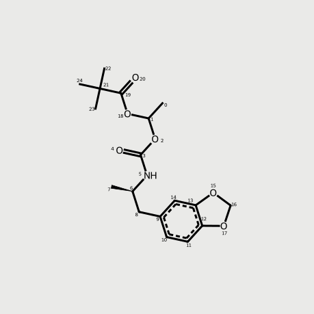 CC(OC(=O)N[C@H](C)Cc1ccc2c(c1)OCO2)OC(=O)C(C)(C)C